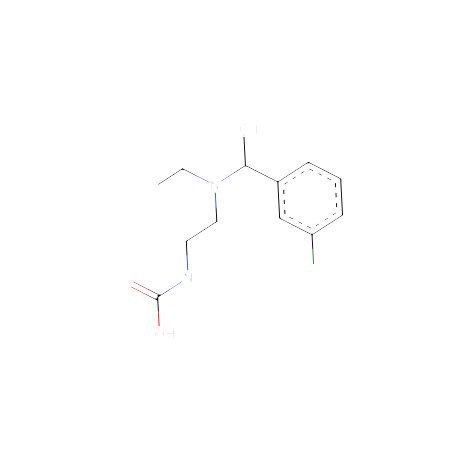 CCN(CCNC(=O)O)C(C)c1cccc(Cl)c1